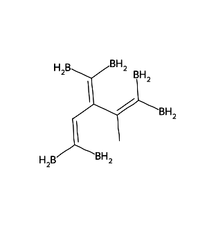 BC(B)=CC(=C(B)B)C(C)=C(B)B